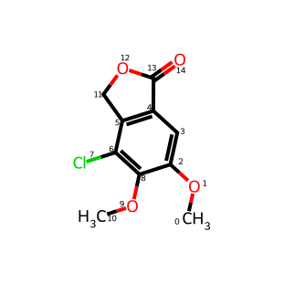 COc1cc2c(c(Cl)c1OC)COC2=O